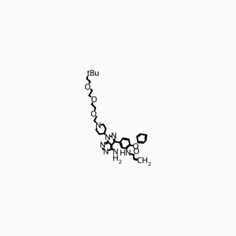 C=CC(=O)Nc1cc(-c2nn(C3CCN(CCOCCOCCOCCC(C)(C)C)CC3)c3ncnc(N)c23)ccc1Oc1ccccc1